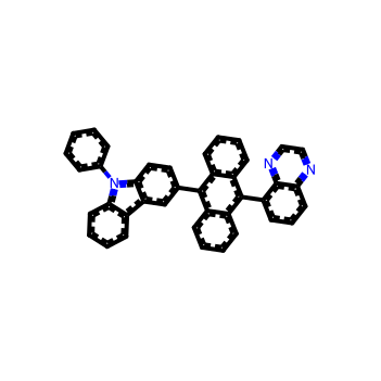 c1ccc(-n2c3ccccc3c3cc(-c4c5ccccc5c(-c5cccc6nccnc56)c5ccccc45)ccc32)cc1